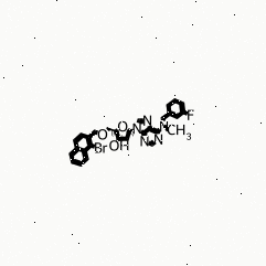 CN(CC1=CC(F)=CCC1)c1ncnc2c1ncn2[C@H]1C[C@H](O)[C@@H](COCc2ccc3ccccc3c2Br)O1